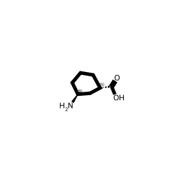 N[C@H]1CCC[C@H](C(=O)O)C1